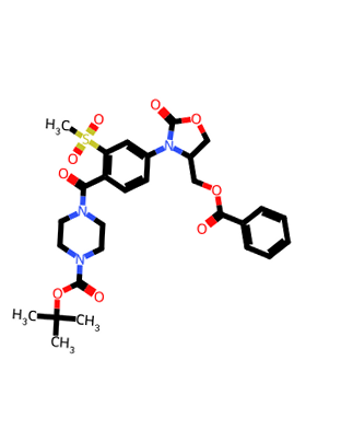 CC(C)(C)OC(=O)N1CCN(C(=O)c2ccc(N3C(=O)OCC3COC(=O)c3ccccc3)cc2S(C)(=O)=O)CC1